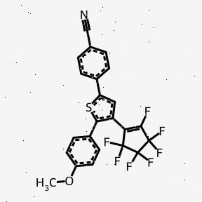 COc1ccc(-c2sc(-c3ccc(C#N)cc3)cc2C2=C(F)C(F)(F)C(F)(F)C2(F)F)cc1